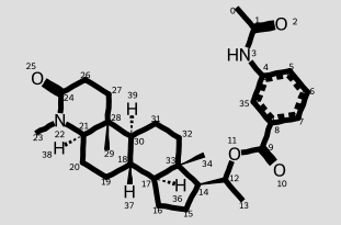 CC(=O)Nc1cccc(C(=O)OC(C)[C@H]2CC[C@H]3[C@@H]4CC[C@H]5N(C)C(=O)CC[C@]5(C)[C@H]4CC[C@]23C)c1